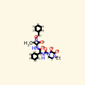 CCN1CCN(C(=O)NC(C(=O)N[C@@H]2C(=O)N(OCc3ccccc3)[C@H]2C)c2ccccc2)C(=O)C1=O